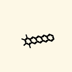 Cc1c(C)c(C)c2cc3cc4cc5ccccc5cc4cc3cc2c1C